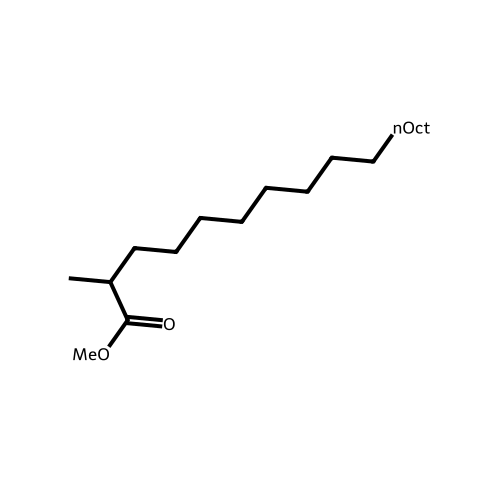 CCCCCCCCCCCCCCCCC(C)C(=O)OC